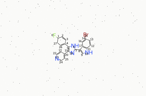 FC1C=CC(c2[nH]c(-c3c[nH]c4ccc(Br)cc34)nc2-c2ccncc2)=CC1